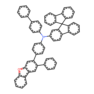 c1ccc(-c2ccc(N(c3ccc(-c4cc5oc6ccccc6c5cc4-c4ccccc4)cc3)c3ccc4c(c3)C3(c5ccccc5-c5ccccc53)c3ccccc3-4)cc2)cc1